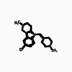 CN1CCC(=Cn2c3c(c4cc(Cl)ccc42)CN(C)CC3)CC1